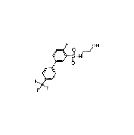 O=S(=O)(NCCO)c1cc(-c2ccc(C(F)(F)F)cc2)ccc1F